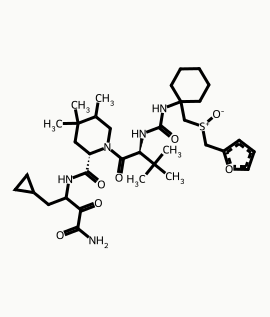 CC1CN(C(=O)[C@@H](NC(=O)NC2(C[S+]([O-])Cc3ccco3)CCCCC2)C(C)(C)C)[C@H](C(=O)NC(CC2CC2)C(=O)C(N)=O)CC1(C)C